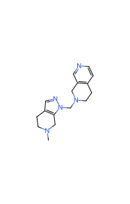 CN1CCc2cnn(CN3CCc4ccncc4C3)c2C1